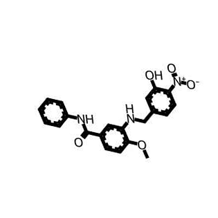 COc1ccc(C(=O)Nc2ccccc2)cc1NCc1ccc([N+](=O)[O-])c(O)c1